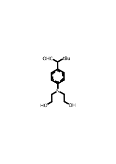 CC(C)(C)C([C]=O)c1ccc(N(CCO)CCO)cc1